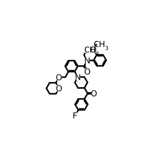 CCN(C(=O)c1cccc(COC2CCCCO2)c1N1CCC(C(=O)c2ccc(F)cc2)CC1)c1ccccc1OC